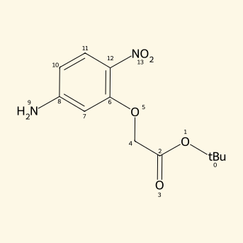 CC(C)(C)OC(=O)COc1cc(N)ccc1[N+](=O)[O-]